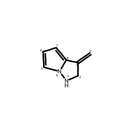 C=C1CNn2cccc21